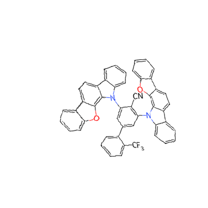 N#Cc1c(-n2c3ccccc3c3ccc4c5ccccc5oc4c32)cc(-c2ccccc2C(F)(F)F)cc1-n1c2ccccc2c2ccc3c4ccccc4oc3c21